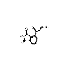 O=C(CCO)c1cccc2c1C(=O)NC2=O